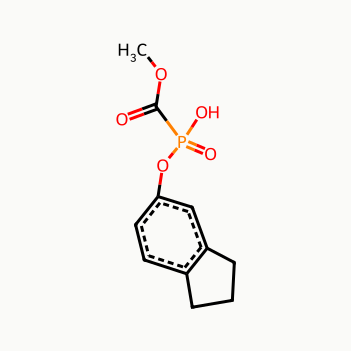 COC(=O)P(=O)(O)Oc1ccc2c(c1)CCC2